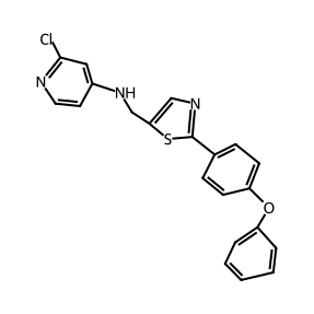 Clc1cc(NCc2cnc(-c3ccc(Oc4ccccc4)cc3)s2)ccn1